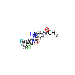 CC(=O)/C=C/C1CCc2c(C(=O)N3CCC(c4cc(F)ccc4Cl)CC3)n[nH]c2C1